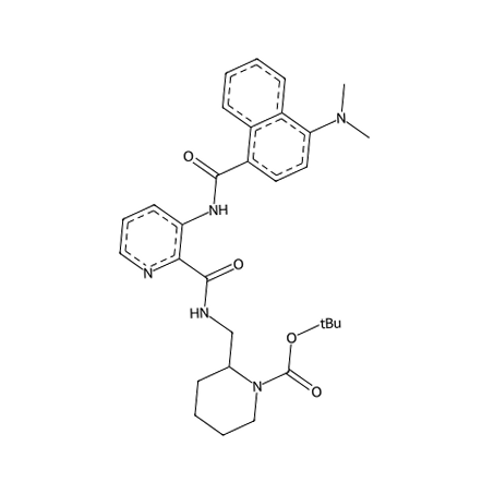 CN(C)c1ccc(C(=O)Nc2cccnc2C(=O)NCC2CCCCN2C(=O)OC(C)(C)C)c2ccccc12